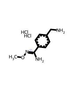 CO/N=C(\N)c1ccc(CN)cc1.Cl.Cl